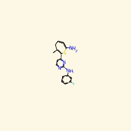 CC1=C(c2ccnc(Nc3cccc(F)c3)n2)SC(N)=C=CC1